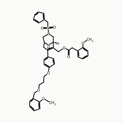 COc1ccccc1COCCCOc1ccc(C2=C(COC(=O)Cc3ccccc3OC)[C@H]3CN(S(=O)(=O)Cc4ccccc4)CC(C2)N3)cc1